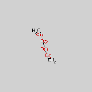 C=CC(=O)OCCOC(=O)CCC(=O)OCCOC(=O)C=C